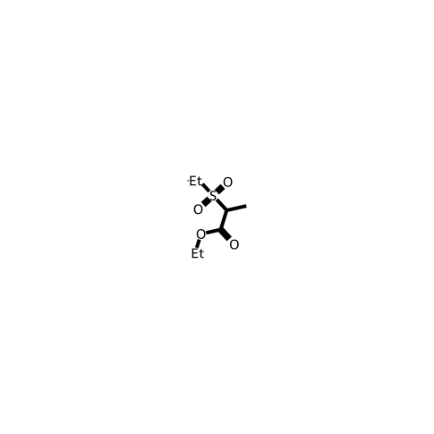 C[CH]S(=O)(=O)C(C)C(=O)OCC